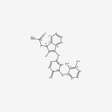 Cc1c(Cc2ccc(=O)n(Cc3cccc(F)c3F)n2)c2ccccc2n1CC(=O)O